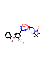 CN1C(=O)N(Cc2nc(-c3ccc(Oc4ccccc4C(F)(F)F)c(C(F)(F)F)c3)no2)C(=O)C1(C)C